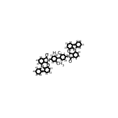 Cc1cc(N2C(=O)c3cccc(-n4c5ccccc5c5ccccc54)c3C2=O)ccc1-c1ccc(N2C(=O)c3cccc(-n4c5ccccc5c5ccccc54)c3C2=O)cc1C